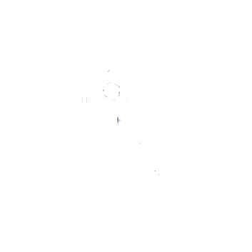 COc1c(O)c2c(c(C)c1C/C=C(\C)CCC(=O)OCC[N+]1([O-])CCCCC1)COC2=O